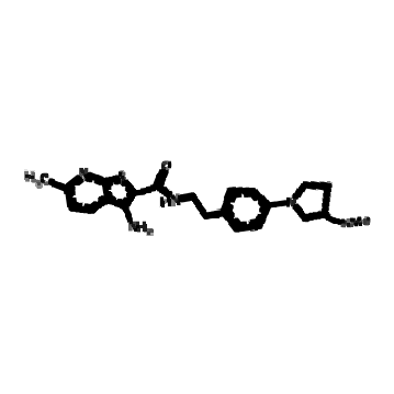 CNC1CCN(c2ccc(CCNC(=O)c3sc4nc(C)ccc4c3N)cc2)C1